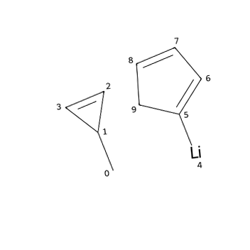 CC1C=C1.[Li][C]1=CC=CC1